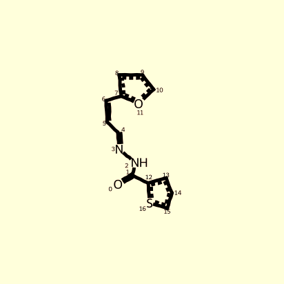 O=C(N/N=C/C=C\c1ccco1)c1cccs1